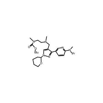 CC(C)N(C)c1ccc(-c2nn(C3CCCCO3)cc2CN(C)CCN(C)C(=O)OC(C)(C)C)cn1